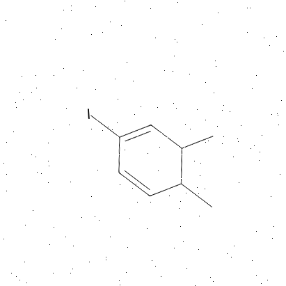 CC1C=CC(I)=CC1C